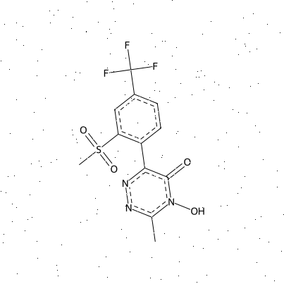 Cc1nnc(-c2ccc(C(F)(F)F)cc2S(C)(=O)=O)c(=O)n1O